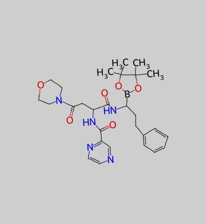 CC1(C)OB(C(CCc2ccccc2)NC(=O)C(CC(=O)N2CCOCC2)NC(=O)c2cnccn2)OC1(C)C